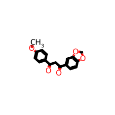 COc1ccc(C(=O)CC(=O)c2ccc3c(c2)OCO3)cc1